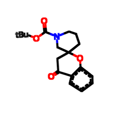 CC(C)(C)OC(=O)N1CCCC2(CC(=O)c3ccccc3O2)C1